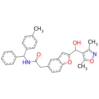 Cc1ccc(C(NC(=O)Cc2ccc3oc(C(O)c4c(C)noc4C)cc3c2)c2ccccc2)cc1